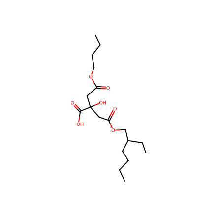 CCCCOC(=O)CC(O)(CC(=O)OCC(CC)CCCC)C(=O)O